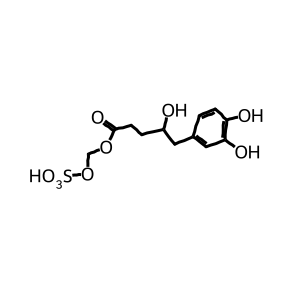 O=C(CCC(O)Cc1ccc(O)c(O)c1)OCOS(=O)(=O)O